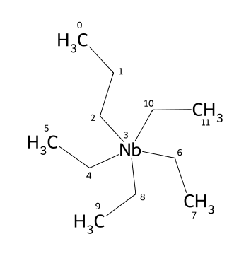 CC[CH2][Nb]([CH2]C)([CH2]C)([CH2]C)[CH2]C